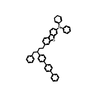 C1=CC(N(c2ccccc2)c2ccc3c(c2)sc2cc(CCC(Cc4ccccc4)c4ccc(-c5ccc(-c6ccccc6)cc5)cc4)ccc23)=CCC1